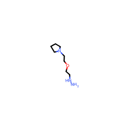 NNCCOCCN1CCCC1